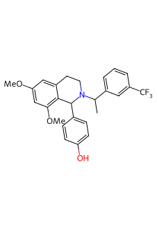 COc1cc2c(c(OC)c1)C(c1ccc(O)cc1)N(C(C)c1cccc(C(F)(F)F)c1)CC2